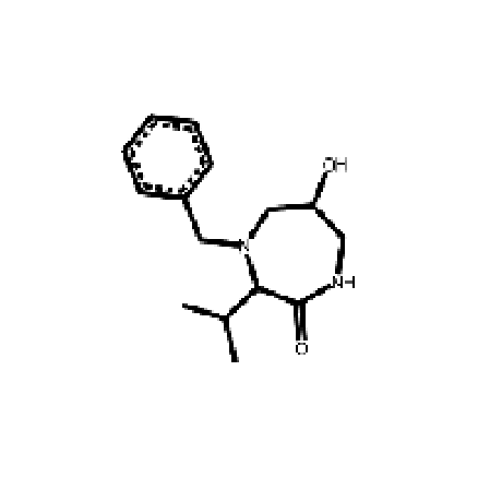 CC(C)C1C(=O)NCC(O)CN1Cc1ccccc1